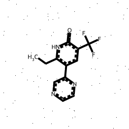 CCc1[nH]c(=O)c(C(F)(F)F)cc1-c1cnccn1